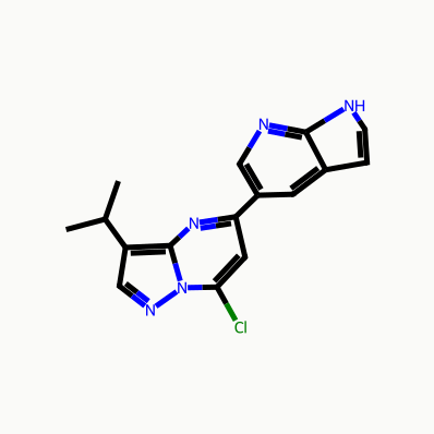 CC(C)c1cnn2c(Cl)cc(-c3cnc4[nH]ccc4c3)nc12